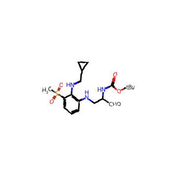 CC(C)(C)OC(=O)NC(C=O)CNc1cccc(S(C)(=O)=O)c1NCC1CC1